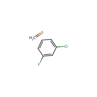 C=S.Fc1cccc(Cl)c1